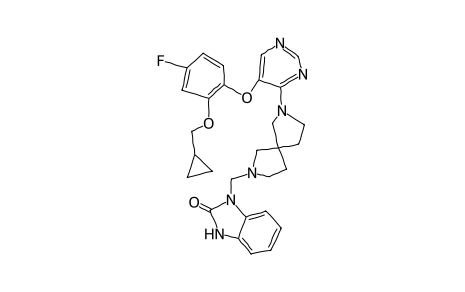 O=c1[nH]c2ccccc2n1CN1CCC2(CCN(c3ncncc3Oc3ccc(F)cc3OCC3CC3)C2)C1